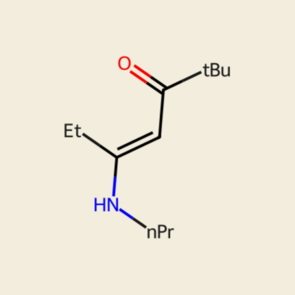 CCCNC(=CC(=O)C(C)(C)C)CC